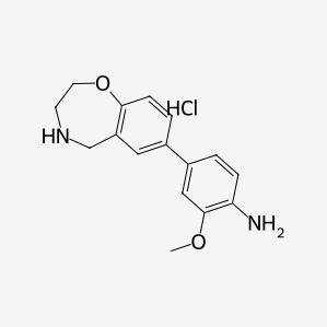 COc1cc(-c2ccc3c(c2)CNCCO3)ccc1N.Cl